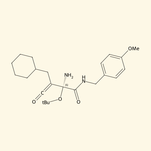 COc1ccc(CNC(=O)[C@@](N)(OC(C)(C)C)C(=C=O)CC2CCCCC2)cc1